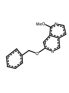 COc1nccc2cnc(OCc3ccccc3)cc12